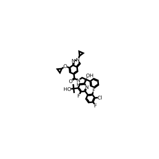 CC(C)(O)c1cc([C@@](O)(CNC(=O)c2cc(OC3CC3)c3nn(C4CC4)cc3c2)c2ccccc2)nc(-c2ccc(F)c(Cl)c2F)c1F